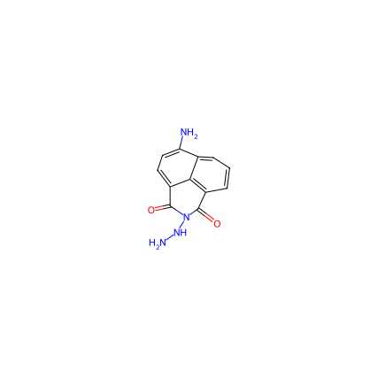 NNN1C(=O)c2cccc3c(N)ccc(c23)C1=O